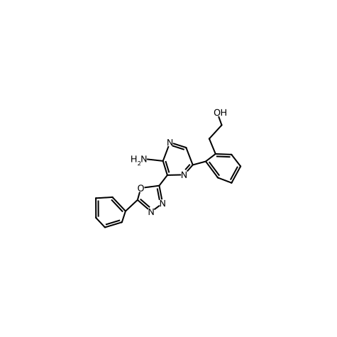 Nc1ncc(-c2ccccc2CCO)nc1-c1nnc(-c2ccccc2)o1